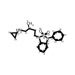 C[C@@H](CCN1c2ccccc2N(c2ccccc2)S1(=O)=O)CNC1CC1